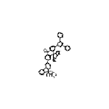 CC1(C)c2ccccc2-c2cc(-c3ccc4c(c3)C3(c5cc(-c6cc(-c7ccccc7)cc(-c7ccccc7)c6)ccc5C4=O)c4ccccc4-c4ccccc43)ccc21